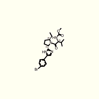 CC[C@@H]1CC[C@@H](c2ncc(-c3ccc(Br)cc3)[nH]2)N1C(=O)[C@@H](NC(=O)OC)C(C)C